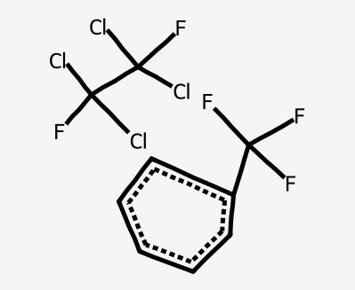 FC(Cl)(Cl)C(F)(Cl)Cl.FC(F)(F)c1ccccc1